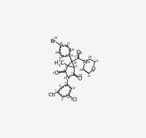 CC12C(=O)N(c3cc(Cl)cc(Cl)c3)C(=O)C1C2(C(=O)N1CCOCC1)c1ccc(Br)cc1